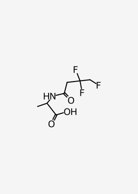 CC(NC(=O)CC(F)(F)CF)C(=O)O